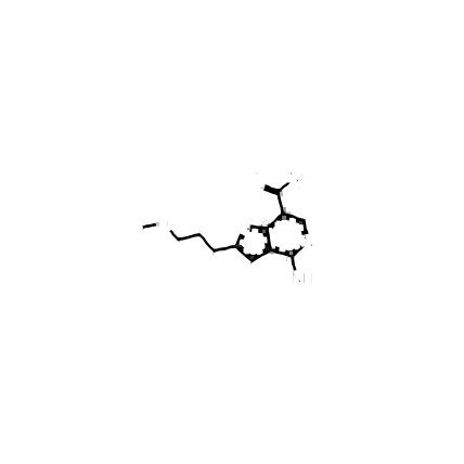 COCCCc1cc2c(N)ncc(C(N)=O)c2s1